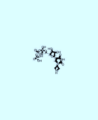 O=c1[nH]c(=O)n(C2CNC2)cc1[C@@H]1O[C@H](COP(=O)(O)OP(=O)(O)OP(=O)(O)O)C(O)C1O